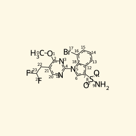 COc1nc(-n2cc(S(N)(=O)=O)c3cccc(Br)c32)ncc1CC(F)F